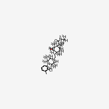 [2H]C([2H])([2H])N(C)C(=O)N[C@]1([2H])C([2H])([2H])C([2H])([2H])[C@@]([2H])(CCN2C([2H])([2H])C([2H])([2H])N(c3cccc(C)c3Cl)C([2H])([2H])C2([2H])[2H])C([2H])([2H])C1([2H])[2H]